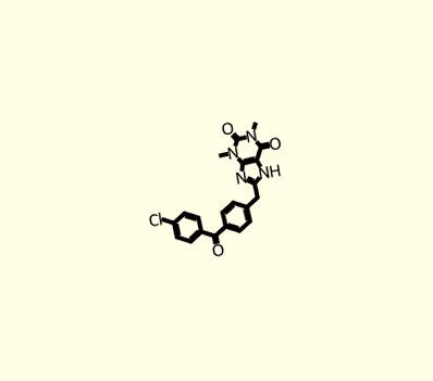 Cn1c(=O)c2[nH]c(Cc3ccc(C(=O)c4ccc(Cl)cc4)cc3)nc2n(C)c1=O